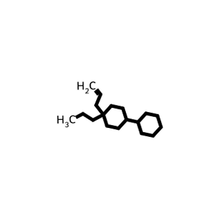 C=CCC1(CCC)CCC(C2CCCCC2)CC1